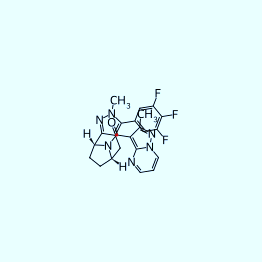 Cc1nn2cccnc2c1C(=O)N1[C@H]2CC[C@@H]1c1nn(C)c(-c3cc(F)c(F)c(F)c3)c1C2